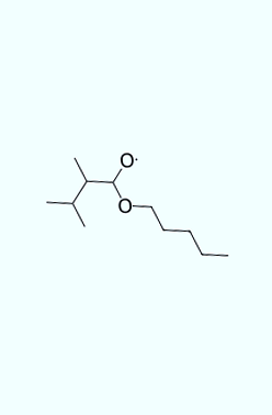 CCCCCOC([O])C(C)C(C)C